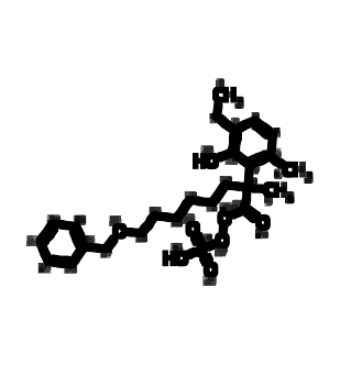 CCc1ccc(C)c(C(C)(CCCCCCOCc2ccccc2)C(=O)OOS(=O)(=O)O)c1O